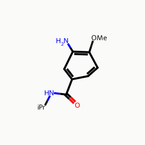 COc1ccc(C(=O)NC(C)C)cc1N